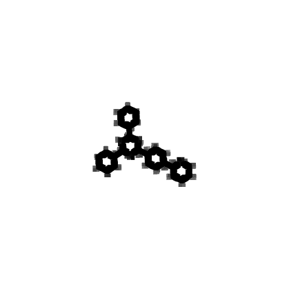 c1ccc(-c2nc(-c3ccccc3)nc(-c3ccc(-c4ccccn4)cc3)n2)cc1